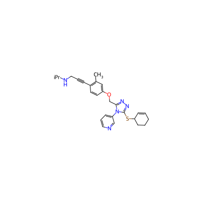 Cc1cc(OCc2nnc(SC3C=CCCC3)n2-c2cccnc2)ccc1C#CCNC(C)C